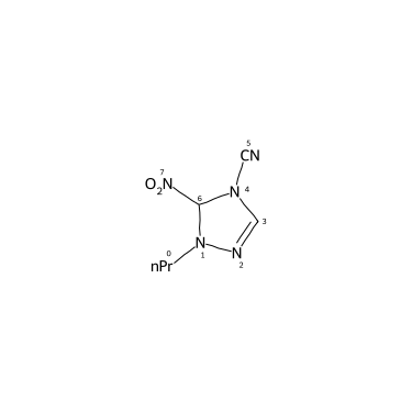 CCCN1N=CN(C#N)C1[N+](=O)[O-]